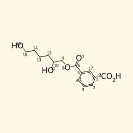 O=C(O)c1cccc(C(=O)OCC(O)CCCCO)c1